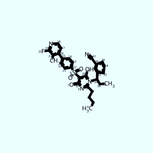 CCCCc1nc(=O)c(S(=O)(=O)c2ccc(-c3ccnc(F)c3C)cc2)c(O)n1C(CC)c1cccc(C#N)c1